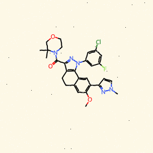 COc1cc2c(cc1-c1ccn(C)n1)-c1c(c(C(=O)N3CCOCC3(C)C)nn1-c1cc(F)cc(Cl)c1)CC2